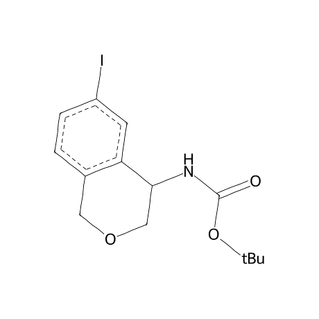 CC(C)(C)OC(=O)NC1COCc2ccc(I)cc21